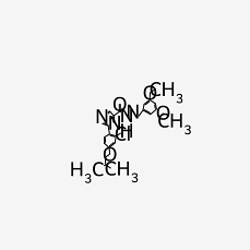 COc1cc(C=NNC(=O)c2cncc(-c3ccc(OCC(C)C)cc3Cl)n2)cc(OC)c1